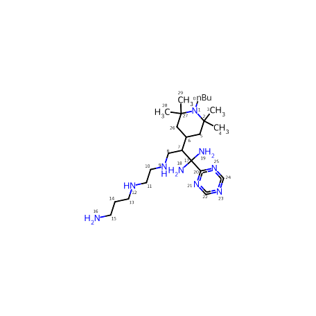 CCCCN1C(C)(C)CC(C(CNCCNCCCN)C(N)(N)c2ncncn2)CC1(C)C